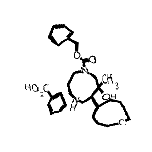 CC1(O)CN(C(=O)OCc2ccccc2)CCCNCC1C1CCCCCCCC1.O=C(O)c1ccccc1